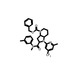 Cc1cccc(N(C)C(=O)C2CC3C(CCCN3C(=O)OCc3ccccc3)N2c2cc(C(F)(F)F)cc(C)n2)c1